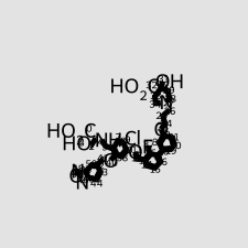 O=C(O)C(CO)NCc1cc(Cl)c(OCc2cccc(-c3cccc(OCCCN4CCC(O)(C(=O)O)CC4)c3)c2F)cc1OCc1ccc2nonc2c1